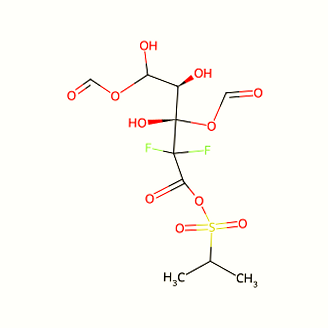 CC(C)S(=O)(=O)OC(=O)C(F)(F)[C@@](O)(OC=O)[C@H](O)C(O)OC=O